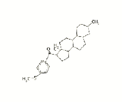 CSc1ccc(C(=O)C2CCC3C4CCC5CC(C)CCC5C4CCC23C)cc1